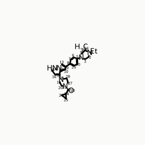 CCN1CCN(c2ccc(-c3cc4n(c3)NCC=C4N3CCN(C(=O)C4CC4)CC3)cc2)C[C@H]1C